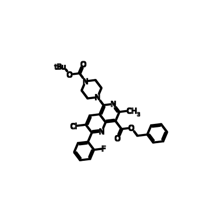 Cc1nc(N2CCN(C(=O)OC(C)(C)C)CC2)c2cc(Cl)c(-c3ccccc3F)nc2c1C(=O)OCc1ccccc1